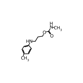 CNC(=O)OCCCNc1ccc(C)cc1